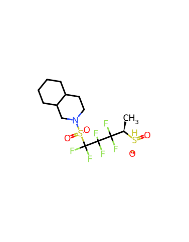 C[C@@H]([SH](=O)=O)C(F)(F)C(F)(F)C(F)(F)S(=O)(=O)N1CCC2CCCCC2C1